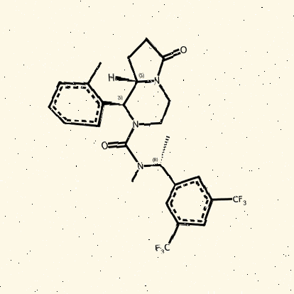 Cc1ccccc1[C@H]1[C@@H]2CCC(=O)N2CCN1C(=O)N(C)[C@H](C)c1cc(C(F)(F)F)cc(C(F)(F)F)c1